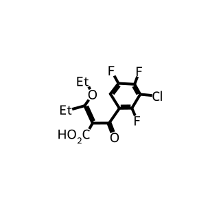 CCOC(CC)=C(C(=O)O)C(=O)c1cc(F)c(F)c(Cl)c1F